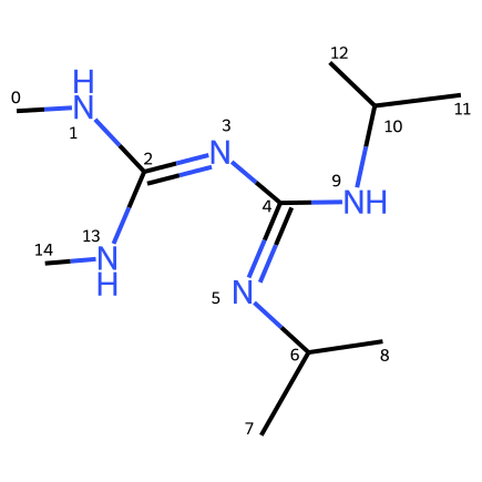 CNC(=N/C(=N/C(C)C)NC(C)C)NC